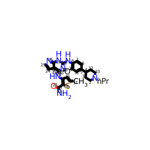 CCCN1CCC(c2ccc(Nc3nc(Nc4cc(C)sc4C(N)=O)c4ccnc-4[nH]3)c(OC)c2)CC1